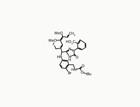 C=C/C(OC)=C(\C=C(/CF)C(Nc1ccc(Br)c(CNC(=O)OC(C)(C)C)c1)c1nn(-c2ccccc2C(=O)O)c(=O)[nH]1)OC